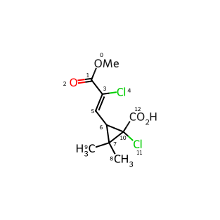 COC(=O)C(Cl)=CC1C(C)(C)C1(Cl)C(=O)O